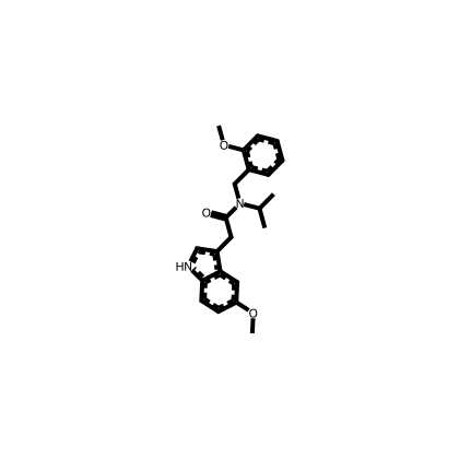 COc1ccc2[nH]cc(CC(=O)N(Cc3ccccc3OC)C(C)C)c2c1